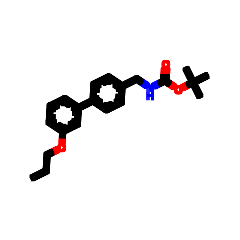 CCCOc1cccc(-c2ccc(CNC(=O)OC(C)(C)C)cc2)c1